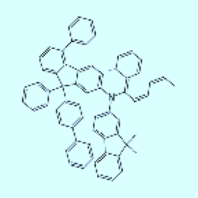 C\C=C/C=C\C(=C1/C=CC=CC1C)N(c1ccc2c(c1)C(C)(C)c1ccccc1-2)c1ccc2c(c1)C(c1ccccc1)(c1ccc(-c3ccccc3)cc1)c1cccc(-c3ccccc3)c1-2